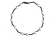 C1=C/CCCCCCCCCCCCCCCCCCCC/1